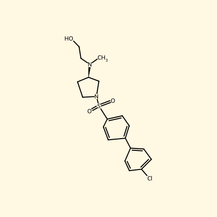 CN(CCO)[C@@H]1CCN(S(=O)(=O)c2ccc(-c3ccc(Cl)cc3)cc2)C1